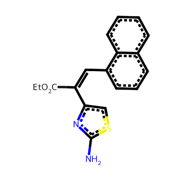 CCOC(=O)C(=Cc1cccc2ccccc12)c1csc(N)n1